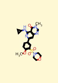 COc1ccc(-c2cc3ncn(C)c(=O)c3c(NC3CC3)n2)cc1S(=O)(=O)N1CCOCC1